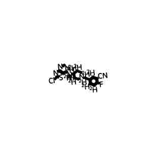 [2H]c1c([2H])c(C([2H])([2H])N2CC([2H])([2H])C([2H])(N([2H])c3ncnc4nc(Cl)sc34)C([2H])([2H])C2)c([2H])c(C#N)c1F